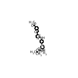 COC(=O)c1ccc2cc(-c3ccnc(Nc4ccc(N5CCC(C)(NC(=O)OC(C)(C)C)CC5)cc4)n3)oc2c1